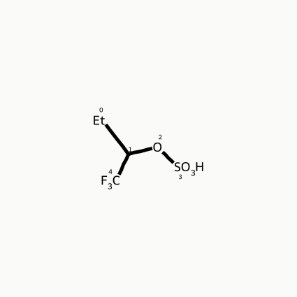 CCC(OS(=O)(=O)O)C(F)(F)F